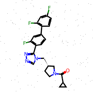 O=C(C1CC1)N1CC[C@H](Cn2cnnc2-c2ccc(-c3ccc(F)cc3F)cc2F)C1